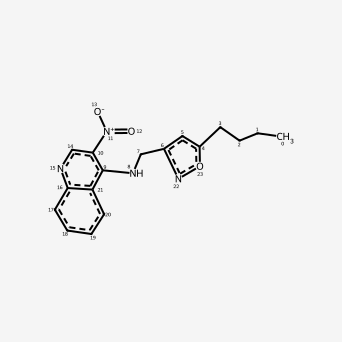 CCCCc1cc(CNc2c([N+](=O)[O-])cnc3ccccc23)no1